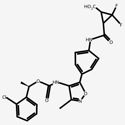 Cc1noc(-c2ccc(NC(=O)C3C(C(=O)O)C3(F)F)cc2)c1NC(=O)O[C@H](C)c1ccccc1Cl